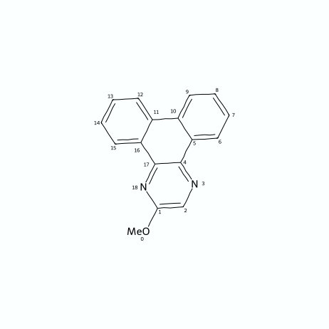 COc1cnc2c3ccccc3c3ccccc3c2n1